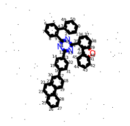 c1ccc(-c2ccccc2-c2nc(-c3ccc(-c4ccc5c(ccc6ccccc65)c4)cc3)nc(-c3cccc4oc5ccccc5c34)n2)cc1